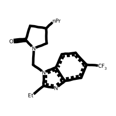 CCCC1CC(=O)N(Cn2c(CC)nc3cc(C(F)(F)F)ccc32)C1